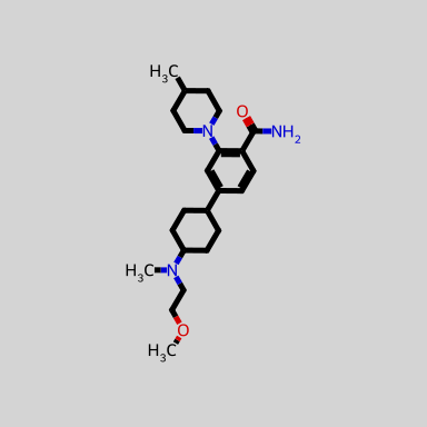 COCCN(C)C1CCC(c2ccc(C(N)=O)c(N3CCC(C)CC3)c2)CC1